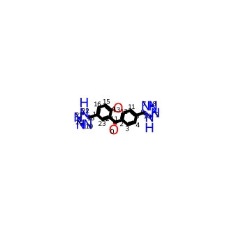 O=c1c2ccc(-c3nnn[nH]3)cc2oc2ccc(-c3nnn[nH]3)cc12